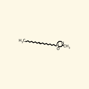 CCCCCCCCC=CCCCCCCCCN1CCCN=C(C)CC1=O